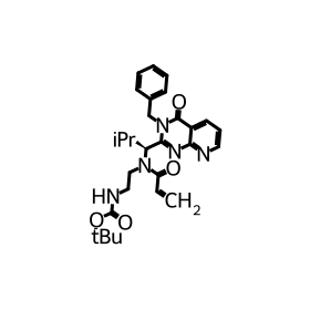 C=CC(=O)N(CCNC(=O)OC(C)(C)C)[C@H](c1nc2ncccc2c(=O)n1Cc1ccccc1)C(C)C